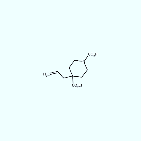 C=CCC1(C(=O)OCC)CCN(C(=O)O)CC1